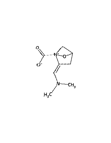 CN(C)C=C1CC2C[N+]1(C(=O)[O-])O2